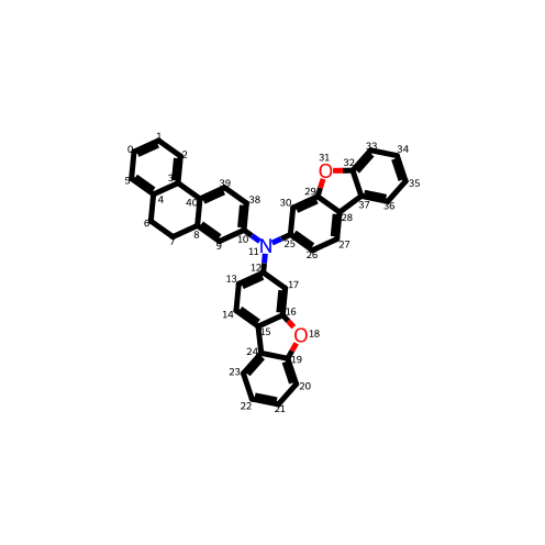 c1ccc2c(c1)CCc1cc(N(c3ccc4c(c3)oc3ccccc34)c3ccc4c(c3)oc3ccccc34)ccc1-2